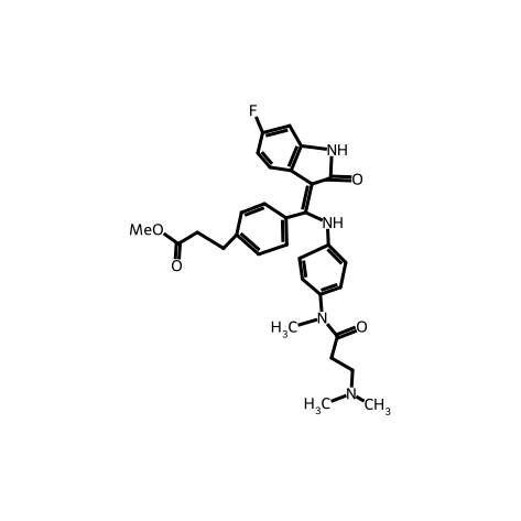 COC(=O)CCc1ccc(/C(Nc2ccc(N(C)C(=O)CCN(C)C)cc2)=C2/C(=O)Nc3cc(F)ccc32)cc1